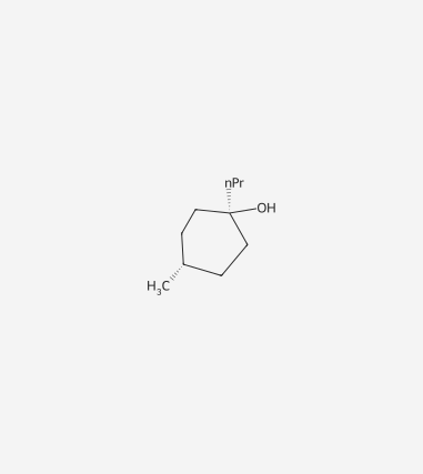 CCC[C@]1(O)CC[C@H](C)CC1